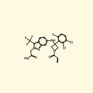 C=CC(=O)N1CC(Nc2ccc3c(C(F)(F)F)n(CC(=O)O)nc3c2)(c2c(F)ccc(Cl)c2Cl)C1